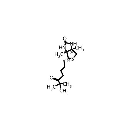 CC(C)(C)C(=O)CCCC[C@H]1SC[C@@]2(C)NC(=O)N[C@@]12C